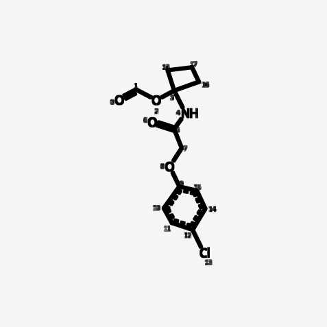 O=COC1(NC(=O)COc2ccc(Cl)cc2)CCC1